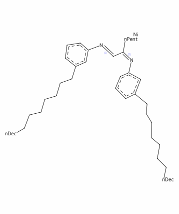 CCCCCCCCCCCCCCCCCc1cccc(/N=C(\C=N\c2cccc(CCCCCCCCCCCCCCCCC)c2)CCCCC)c1.[Ni]